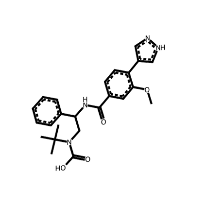 COc1cc(C(=O)NC(CN(C(=O)O)C(C)(C)C)c2ccccc2)ccc1-c1cn[nH]c1